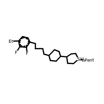 CCCCC[SiH]1CCC(C2CCC(CCCCc3ccc(CC)c(F)c3F)CC2)CC1